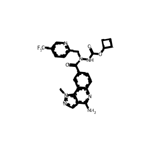 Cn1ncc2c(N)nc3ccc(C(=O)N(Cc4ccc(C(F)(F)F)cn4)NC(=O)OC4CCC4)cc3c21